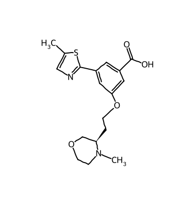 Cc1cnc(-c2cc(OCC[C@@H]3COCCN3C)cc(C(=O)O)c2)s1